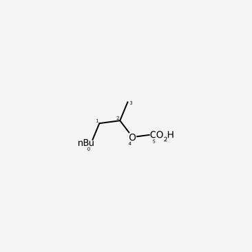 CCCCCC(C)OC(=O)O